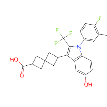 Cc1cc(-n2c(C(F)(F)F)c(C3CC4(CC(C(=O)O)C4)C3)c3cc(O)ccc32)ccc1F